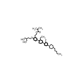 C=C(C)C(=O)OCCc1cc(-c2ccc(-c3ccc(C4CCC(CCCCC)CC4)cc3F)cc2CC)ccc1OCCC(CO)CO